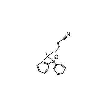 CC(C)(C)[Si](OC/C=C/C#N)(c1ccccc1)c1ccccc1